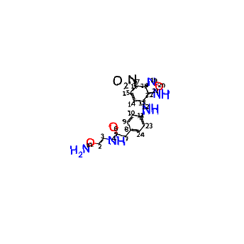 NOCCNC(=O)Cc1ccc(NC2C=CC([N+](=O)[O-])C3=NONC32)cc1